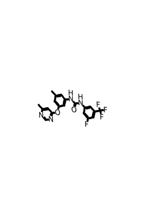 Cc1cc(NC(=O)Nc2cc(F)cc(C(F)(F)F)c2)cc(Oc2cc(C)ncn2)c1